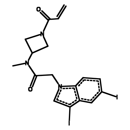 C=CC(=O)N1CC(N(C)C(=O)Cn2cc(I)c3cc(I)ccc32)C1